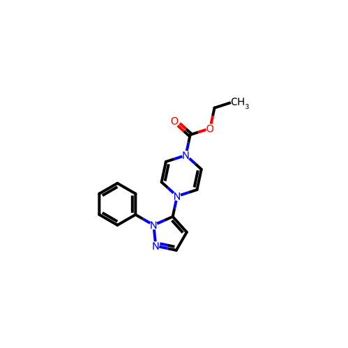 CCOC(=O)N1C=CN(c2ccnn2-c2ccccc2)C=C1